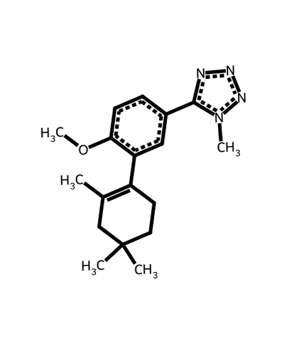 COc1ccc(-c2nnnn2C)cc1C1=C(C)CC(C)(C)CC1